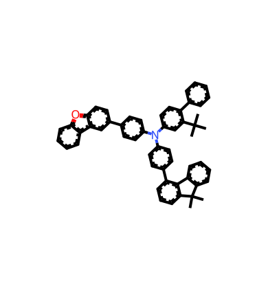 CC(C)(C)c1cc(N(c2ccc(-c3ccc4oc5ccccc5c4c3)cc2)c2ccc(-c3cccc4c3-c3ccccc3C4(C)C)cc2)ccc1-c1ccccc1